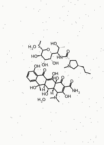 CCC[C@@H]1C[C@@H](C(=O)N[C@@H]([C@H]2O[C@H](SC)[C@H](O)[C@@H](O)[C@H]2O)[C@@H](C)O)N(C)C1.CN(C)[C@@H]1C(O)=C(C(N)=O)C(=O)[C@@]2(O)C(O)=C3C(=O)c4c(O)cccc4[C@@](C)(O)[C@H]3[C@H](O)[C@@H]12.O.O